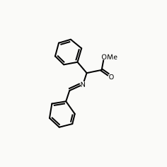 COC(=O)C(N=Cc1ccccc1)c1ccccc1